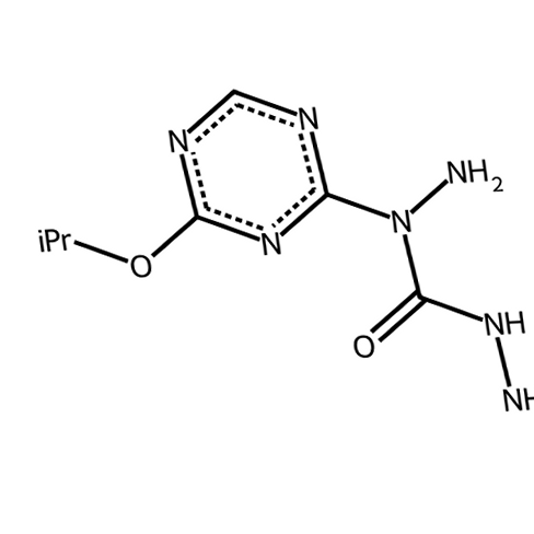 CC(C)Oc1ncnc(N(N)C(=O)NN)n1